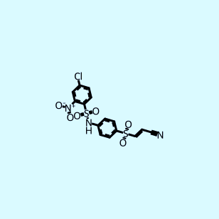 N#CC=CS(=O)(=O)c1ccc(NS(=O)(=O)c2ccc(Cl)cc2[N+](=O)[O-])cc1